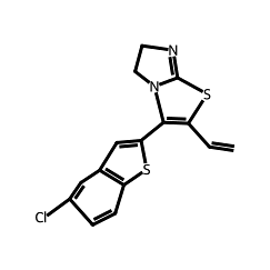 C=CC1=C(c2cc3cc(Cl)ccc3s2)N2CCN=C2S1